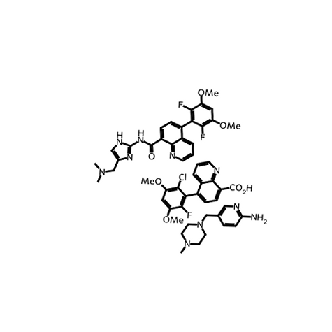 CN1CCN(Cc2ccc(N)nc2)CC1.COc1cc(OC)c(Cl)c(-c2ccc(C(=O)O)c3ncccc23)c1F.COc1cc(OC)c(F)c(-c2ccc(C(=O)Nc3nc(CN(C)C)c[nH]3)c3ncccc23)c1F